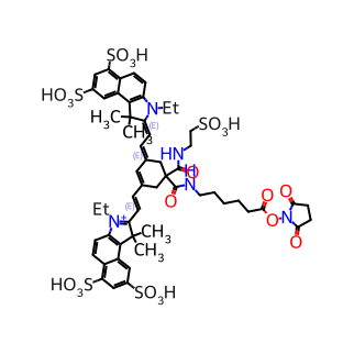 CCN1/C(=C/C=C2C=C(/C=C/C3=[N+](CC)c4ccc5c(S(=O)(=O)O)cc(S(=O)(=O)O)cc5c4C3(C)C)CC(C(=O)NCCCCCC(=O)ON3C(=O)CCC3=O)(C(=O)NCCS(=O)(=O)O)C/2)C(C)(C)c2c1ccc1c(S(=O)(=O)O)cc(S(=O)(=O)O)cc21